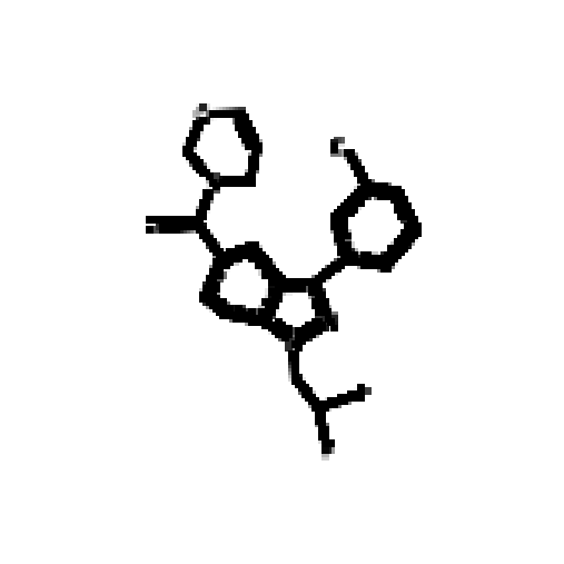 O=C(c1ccc2c(c1)c(-c1cccc(Cl)c1)nn2CC(F)F)N1CC=COC1